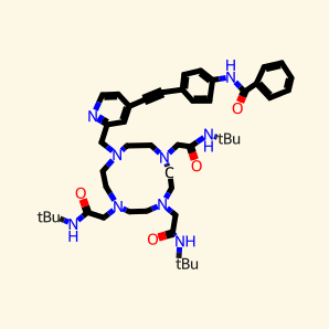 CC(C)(C)NC(=O)CN1CCN(CC(=O)NC(C)(C)C)CCN(Cc2cc(C#Cc3ccc(NC(=O)c4ccccc4)cc3)ccn2)CCN(CC(=O)NC(C)(C)C)CC1